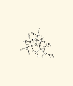 CC1C2CC(CC(OC(C)(C(F)(F)F)C(F)(F)F)(C(F)(F)F)C(F)(F)F)C(C2)C1C